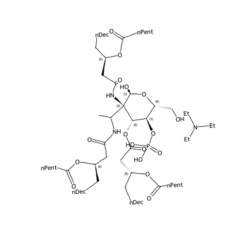 CCCCCCCCCCC[C@H](CC(=O)NC(C)[C@]1(NC(=O)C[C@@H](CCCCCCCCCCC)OC(=O)CCCCC)[C@@H](O)O[C@H](CO)[C@@H](OP(=O)(O)O)[C@@H]1OC(=O)C[C@@H](CCCCCCCCCCC)OC(=O)CCCCC)OC(=O)CCCCC.CCN(CC)CC